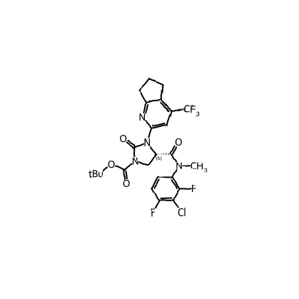 CN(C(=O)[C@@H]1CN(C(=O)OC(C)(C)C)C(=O)N1c1cc(C(F)(F)F)c2c(n1)CCC2)c1ccc(F)c(Cl)c1F